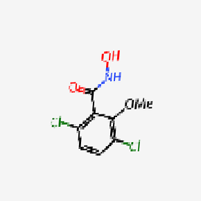 COc1c(Cl)ccc(Cl)c1C(=O)NO